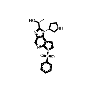 C[C@@H](O)c1nc2cnc3c(ccn3S(=O)(=O)c3ccccc3)c2n1[C@@H]1CCNC1